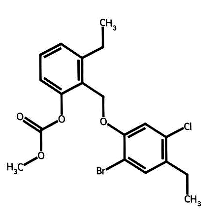 CCc1cc(Br)c(OCc2c(CC)cccc2OC(=O)OC)cc1Cl